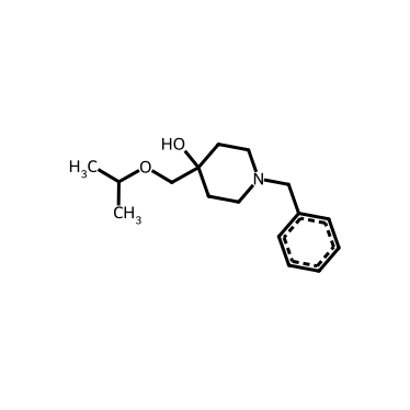 CC(C)OCC1(O)CCN(Cc2ccccc2)CC1